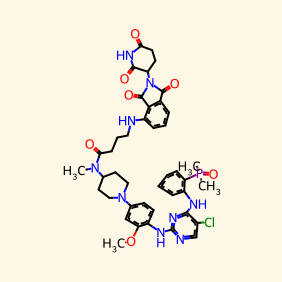 COc1cc(N2CCC(N(C)C(=O)CCCNc3cccc4c3C(=O)N(C3CCC(=O)NC3=O)C4=O)CC2)ccc1Nc1ncc(Cl)c(Nc2ccccc2P(C)(C)=O)n1